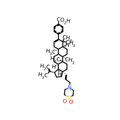 C=C(C)[C@@H]1CC[C@]2(/C=C/CN3CCS(=O)(=O)CC3)CC[C@]3(C)[C@H](CCC4[C@@]5(C)CC=C(c6ccc(C(=O)O)cc6)C(C)(C)[C@@H]5CC[C@]43C)[C@@H]12